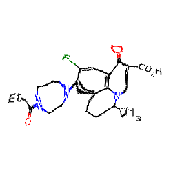 CCC(=O)N1CCN(c2c(F)cc3c(=O)c(C(=O)O)cn4c3c2CCC4C)CC1